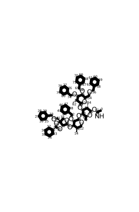 CC(=N)O[C@@H]1OC(C)[C@H](O[C@@H]2OC[C@@H](C)[C@@H](O[C@@H]3OC[C@@]4(COCc5ccccc5)O[C@@H](c5ccccc5)OC34)C2OCc2ccccc2)C(O[C@@H]2OC(COCc3ccccc3)[C@@H](OCc3ccccc3)C(OCc3ccccc3)[C@H]2C)[C@@H]1C